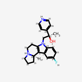 C[C@](O)(Cn1c2c(c3cc(F)ccc31)[C@H]1CCCN1CC2)c1ccncc1